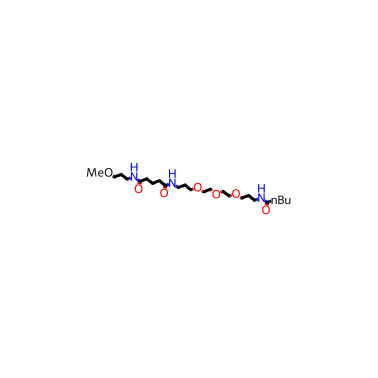 CCCCC(=O)NCCCOCCOCCOCCCNC(=O)CCCC(=O)NCCCOC